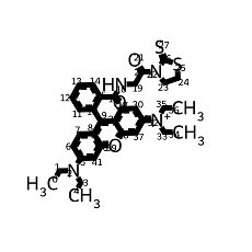 CCN(CC)c1ccc2c(-c3ccccc3C(=O)NCC(=O)N3CCSC3=S)c3ccc(=[N+](CC)CC)cc-3oc2c1